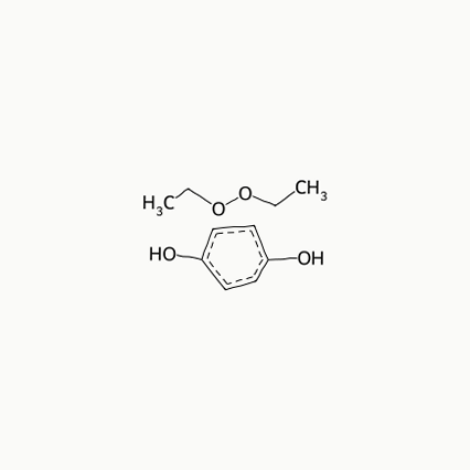 CCOOCC.Oc1ccc(O)cc1